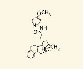 C=C1C[C@@H](CCC(=O)Nc2cc(OC)ccn2)C2C3CCc4ccccc4C3CC[C@]12C